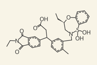 CC[C@@H]1CN(Cc2cc(C(CC(=O)O)c3ccc4c(c3)C(=O)N(CC)C4=O)ccc2C)S(O)(O)c2ccccc2O1